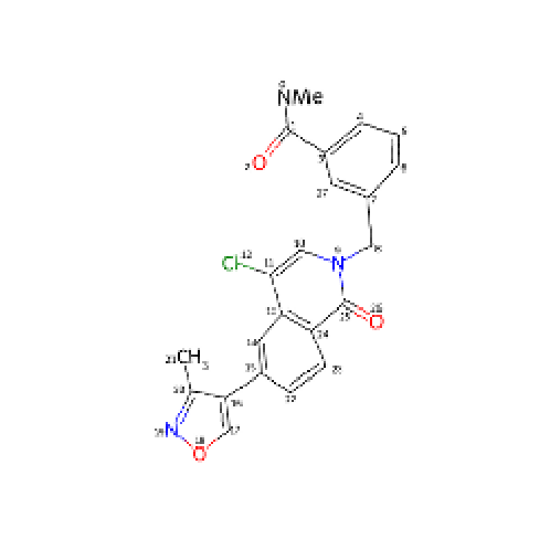 CNC(=O)c1cccc(Cn2cc(Cl)c3cc(-c4conc4C)ccc3c2=O)c1